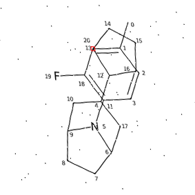 Cc1ccc(N2C3CCC2CC(C2CCCC2)C3)c(F)c1